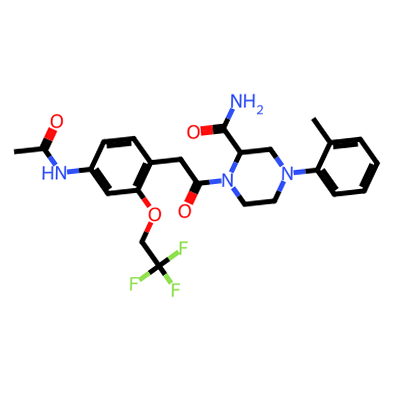 CC(=O)Nc1ccc(CC(=O)N2CCN(c3ccccc3C)CC2C(N)=O)c(OCC(F)(F)F)c1